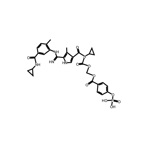 Cc1ccc(C(=O)NC2CC2)cc1NC(=N)c1[nH]cc(C(=O)N(C(=O)OCOC(=O)c2ccc(OP(=O)(O)O)cc2)C2CC2)c1C